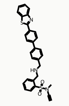 C#CN(C)S(=O)(=O)c1ccccc1CNCc1ccc(-c2ccc(-c3nc4ccccc4s3)cc2)cc1